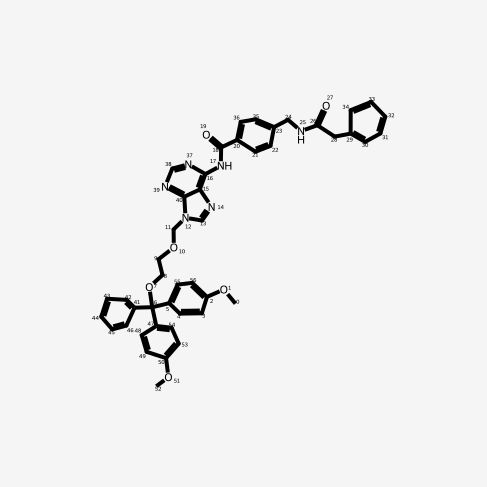 COc1ccc(C(OCCOCn2cnc3c(NC(=O)c4ccc(CNC(=O)Cc5ccccc5)cc4)ncnc32)(c2ccccc2)c2ccc(OC)cc2)cc1